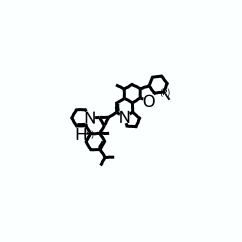 CC(C)C1=CC2(C)C3C(C4=CC5C(C)CC6C7CCC[C@@H](C)C7OC6C5C5CCCN45)C3N3CCCC=C3[C@H]2CC1